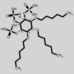 CCCCCCO[C@@H]1[C@@H](OCCCCCC)[C@H](OP(=O)(O)O)[C@@H](OP(=O)(O)O)[C@@H](OP(=O)(O)O)[C@H]1OCCCCCC